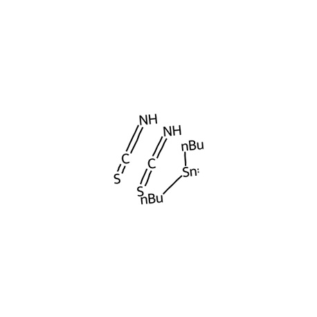 CCC[CH2][Sn][CH2]CCC.N=C=S.N=C=S